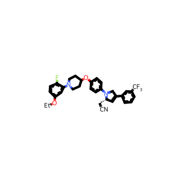 CCOc1ccc(F)c(N2CCC(Oc3ccc(N4CC(c5cccc(C(F)(F)F)c5)=C[C@@H]4CC#N)cc3)CC2)c1